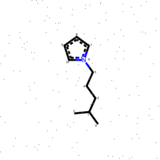 CC(C)CCCn1[c]ccc1